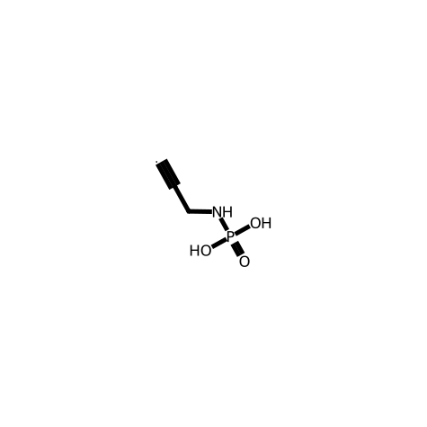 [C]#CCNP(=O)(O)O